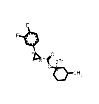 CCC[C@@]1(OC(=O)[C@@H]2C[C@H]2c2ccc(F)c(F)c2)CCCC(C)C1